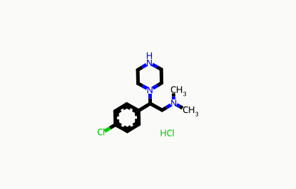 CN(C)CC(c1ccc(Cl)cc1)N1CCNCC1.Cl